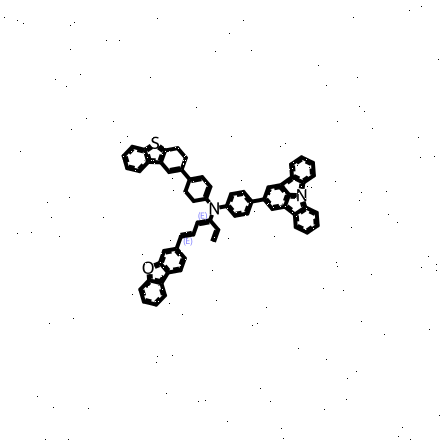 C=C/C(=C\C=C\c1ccc2c(c1)oc1ccccc12)N(C1=CC=C(C2=Cc3c(sc4ccccc34)CC2)CC1)c1ccc(-c2cc3c4ccccc4n4c5ccccc5c(c2)c34)cc1